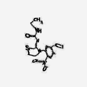 CCNC(=O)N=C1SCCN1c1cc(Cl)ccc1[N+](=O)[O-]